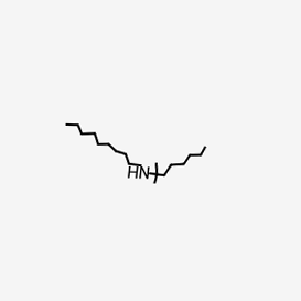 CCCCCCCCCCNC(C)(C)CCCCCC